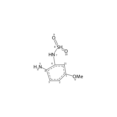 COc1ccc(N)c(N[SH](=O)=O)c1